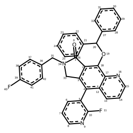 O=C1c2c(c(-c3cccnc3F)c3cccnc3c2OC(c2ccccc2)c2ccccc2)CN1Cc1ccc(F)cc1